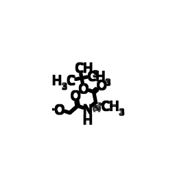 C[C@H](NC(=O)C[O])C(=O)OC(C)(C)C